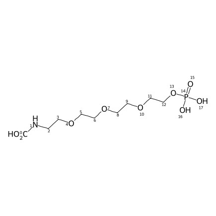 O=C(O)NCCOCCOCCOCCOP(=O)(O)O